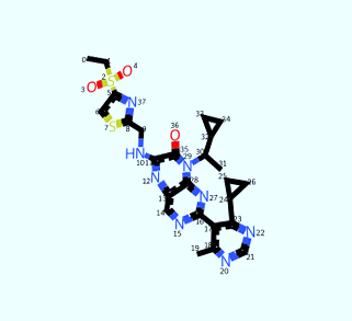 CCS(=O)(=O)c1csc(CNc2nc3cnc(-c4c(C)ncnc4C4CC4)nc3n(C(C)C3CC3)c2=O)n1